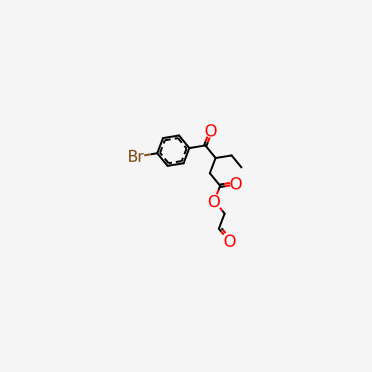 CCC(CC(=O)OCC=O)C(=O)c1ccc(Br)cc1